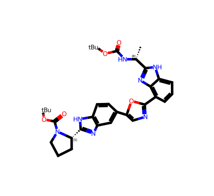 C[C@@H](NC(=O)OC(C)(C)C)c1nc2c(-c3ncc(-c4ccc5[nH]c([C@@H]6CCCN6C(=O)OC(C)(C)C)nc5c4)o3)cccc2[nH]1